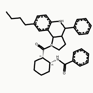 CCCCc1ccc2c(c1)C1C(CCN1C(=O)[C@H]1CCCC[C@H]1NC(=O)c1ccccc1)C(c1ccccc1)N2